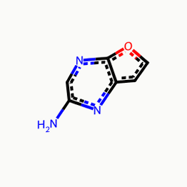 Nc1cnc2occc2n1